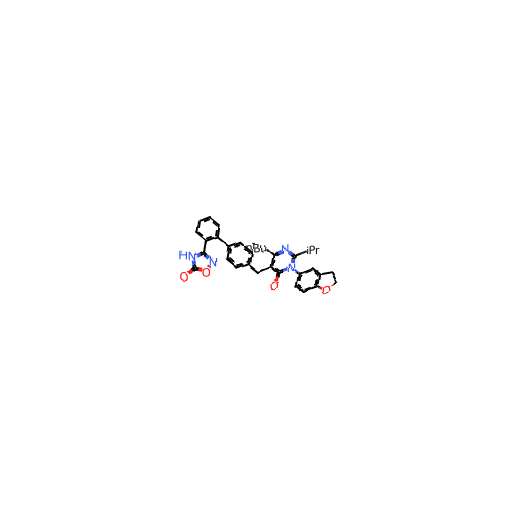 CCCCc1nc(C(C)C)n(-c2ccc3c(c2)CCO3)c(=O)c1Cc1ccc(-c2ccccc2-c2noc(=O)[nH]2)cc1